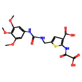 COc1cc(NC(=O)NCc2cc(C(=O)O)c(NC(=O)C(=O)O)s2)cc(OC)c1OC